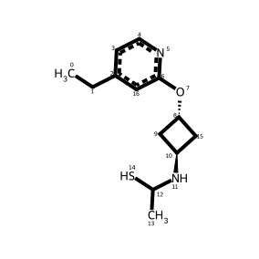 CCc1ccnc(O[C@H]2C[C@H](NC(C)S)C2)c1